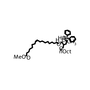 CCCCCCCCOCC(COCCCCCCCC/C=C\CCCCCCC(=O)OC)CC(C)(C)[Si](O)(c1ccccc1)c1ccccc1